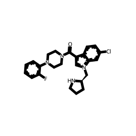 O=C(c1cn(C[C@H]2CCCN2)c2cc(Cl)ccc12)N1CCN(c2ccccc2F)CC1